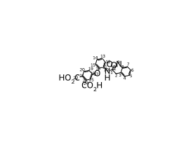 O=C(Cc1ccccc1[N+](=O)[O-])Nc1ccccc1Oc1ccc(C(=O)O)c(C(=O)O)c1